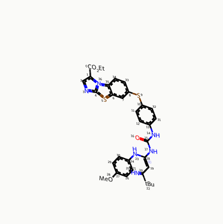 CCOC(=O)c1cnc2sc3cc(Sc4ccc(NC(=O)N/C(=C/C(=N)C(C)(C)C)Nc5ccc(OC)cc5)cc4)ccc3n12